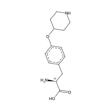 N[C@@H](Cc1ccc(OC2CCNCC2)cc1)C(=O)O